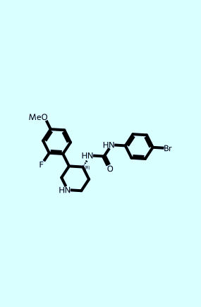 COc1ccc(C2CNCC[C@H]2NC(=O)Nc2ccc(Br)cc2)c(F)c1